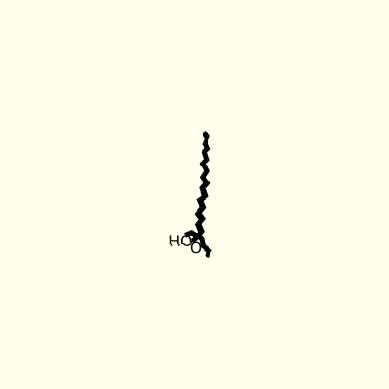 CCCCCCCCCCCCCCCCCCC(CC)(CCCC)C(=O)O